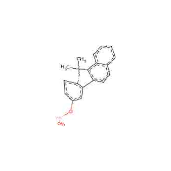 CC1(C)c2ccc(OBO)cc2-c2ccc3ccccc3c21